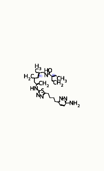 C=C/C(=C\C)C(=O)NC/C(C)=C/C(=C)CC(=C)Nc1nnc(CCCCc2ccc(N)nn2)s1